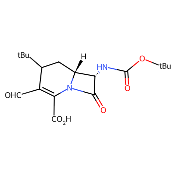 CC(C)(C)OC(=O)N[C@@H]1C(=O)N2C(C(=O)O)=C(C=O)C(C(C)(C)C)C[C@H]12